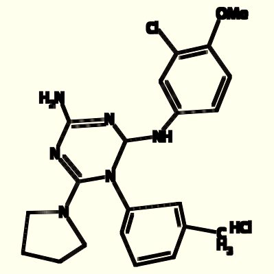 COc1ccc(NC2N=C(N)N=C(N3CCCC3)N2c2cccc(C)c2)cc1Cl.Cl